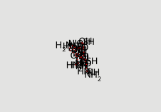 N=C(N)NCCC[C@H](NC(=O)CNC(=O)[C@H](CS)NC(=O)[C@@H](N)CCCNC(=N)N)C(=O)N[C@H](Cc1ccccc1)C(=O)N[C@@H](CCCNC(=N)N)C(=O)N[C@@H](Cc1c[nH]c2ccccc12)C(=O)N[C@@H](CS)C(=O)O